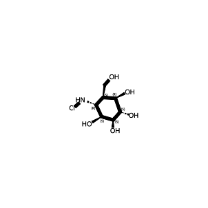 OC[C@H]1[C@@H](O)[C@H](O)[C@@H](O)[C@@H](O)[C@@H]1NCl